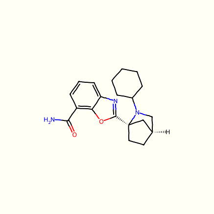 NC(=O)c1cccc2nc([C@]34CC[C@H](CN3C3CCCCC3)C4)oc12